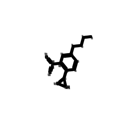 CCCCc1ccc(C2NO2)c([SH](=O)=O)c1